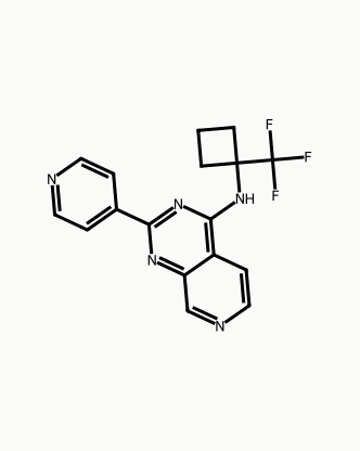 FC(F)(F)C1(Nc2nc(-c3ccncc3)nc3cnccc23)CCC1